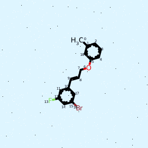 Cc1cccc(OCC=Cc2cc(F)cc(Br)c2)c1